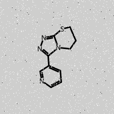 c1cncc(-c2nnc3n2CCCS3)c1